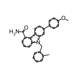 COc1ccc(-c2c[c]c3c4c(C(N)=O)cccc4n(Cc4ccccc4C)c3c2)cc1